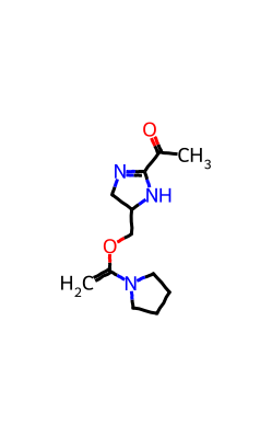 C=C(OCC1CN=C(C(C)=O)N1)N1CCCC1